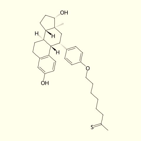 CC(=S)CCCCCCOc1ccc([C@H]2C[C@]3(C)[C@@H](O)CC[C@H]3[C@@H]3CCc4cc(O)ccc4[C@H]32)cc1